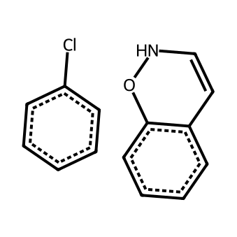 C1=Cc2ccccc2ON1.Clc1ccccc1